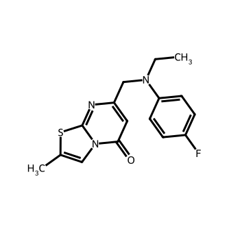 CCN(Cc1cc(=O)n2cc(C)sc2n1)c1ccc(F)cc1